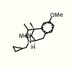 CN[C@@H]1[C@H]2Cc3ccc(OC)cc3[C@@]1(C)C(C)CN2CC1CC1